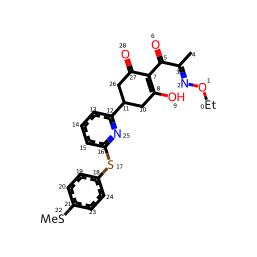 CCON=C(C)C(=O)C1=C(O)CC(c2cccc(Sc3ccc(SC)cc3)n2)CC1=O